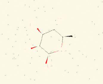 CC(=O)[C@H]1O[C@@H](O)[C@@H](O)[C@@H](O)[C@@H]1O